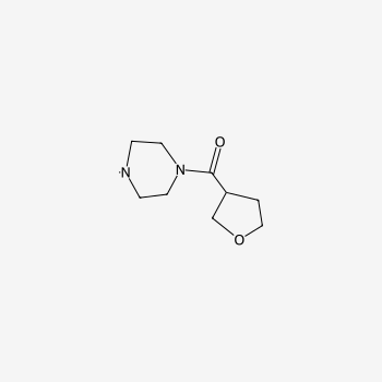 O=C(C1CCOC1)N1CC[N]CC1